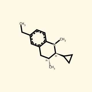 CCc1ccc2c(c1)C[C@@H](C)[C@H](C1CC1)N2C